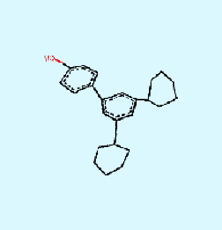 Oc1ccc(-c2cc(C3CCCCC3)cc(C3CCCCC3)c2)cc1